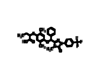 CCC(Sc1cc(C)c(OC(c2ccccc2)c2nn(-c3ccc(C(F)(F)F)cc3)c(=O)n2C)cc1C)C(=O)O